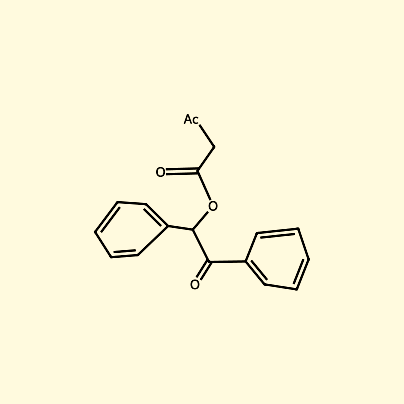 CC(=O)CC(=O)OC(C(=O)c1ccccc1)c1ccccc1